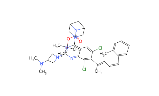 C/C(=C\C=C/c1ccccc1C)c1c(Cl)cc2c(N3CC4CC(C3)N4C(=O)OC(C)(C)C)nc(N3CC(N(C)C)C3)nc2c1Cl